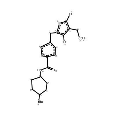 CCc1nn(Cc2ccc(C(=O)NC3CCC(C(C)(C)C)CC3)cc2)c(CC)c1CC(=O)O